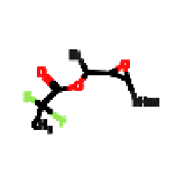 CCCCCCC1OC1C(CC)OC(=O)C(C)(F)F